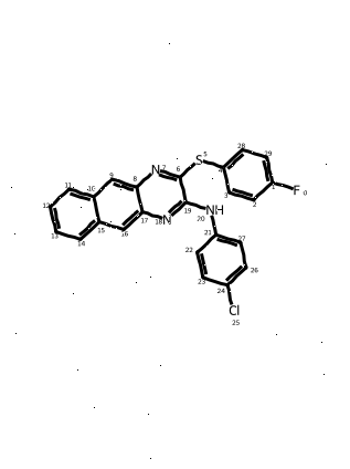 Fc1ccc(Sc2nc3cc4ccccc4cc3nc2Nc2ccc(Cl)cc2)cc1